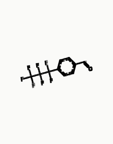 O=[C]c1ccc(C(F)(F)C(F)(F)C(F)(F)F)cc1